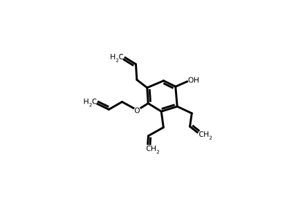 C=CCOc1c(CC=C)cc(O)c(CC=C)c1CC=C